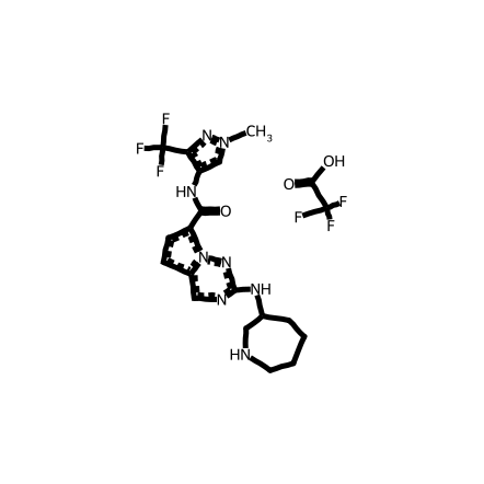 Cn1cc(NC(=O)c2ccc3cnc(NC4CCCCNC4)nn23)c(C(F)(F)F)n1.O=C(O)C(F)(F)F